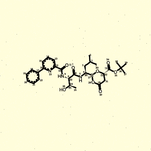 CC(C)C[C@H](NC(=O)[C@@H](NC(=O)c1cccc(-c2ccccc2)n1)[C@@H](C)O)B1OC(=O)C[C@@H](C(=O)OC(C)(C)C)O1